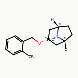 CN1[C@@H]2CC[C@H]1C[C@@H](OCc1ccccc1C(F)(F)F)C2